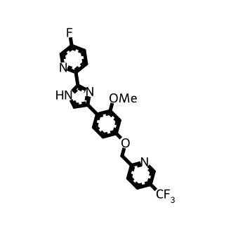 COc1cc(OCc2ccc(C(F)(F)F)cn2)ccc1-c1c[nH]c(-c2ccc(F)cn2)n1